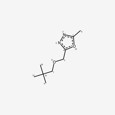 Cc1nnc(COCC(C)(C)C)o1